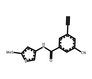 C#Cc1cc(C#N)cc(C(=O)Nc2csc(SC)c2)c1